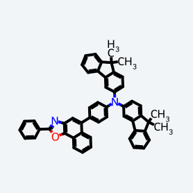 CC1(C)c2ccccc2-c2cc(N(c3ccc(-c4cc5nc(-c6ccccc6)oc5c5ccccc45)cc3)c3ccc4c(c3)-c3ccccc3C4(C)C)ccc21